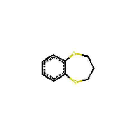 c1ccc2c(c1)SCCCS2